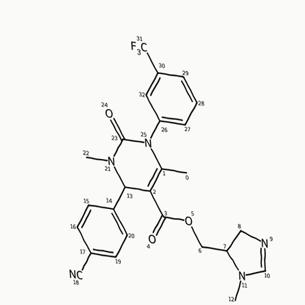 CC1=C(C(=O)OCC2CN=CN2C)C(c2ccc(C#N)cc2)N(C)C(=O)N1c1cccc(C(F)(F)F)c1